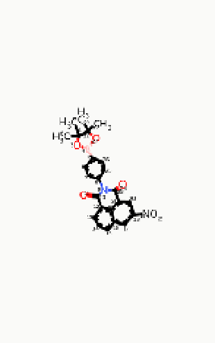 CC1(C)OB(c2ccc(N3C(=O)c4cccc5cc([N+](=O)[O-])cc(c45)C3=O)cc2)OC1(C)C